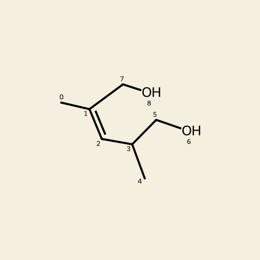 CC(=CC(C)CO)CO